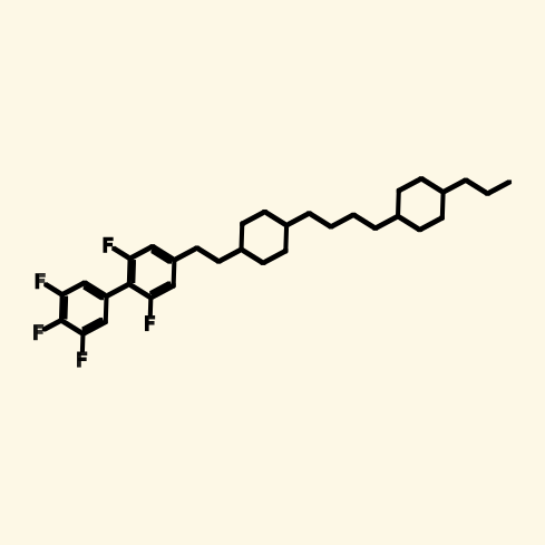 CCCC1CCC(CCCCC2CCC(CCc3cc(F)c(-c4cc(F)c(F)c(F)c4)c(F)c3)CC2)CC1